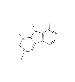 Cc1nccc2c3cc(Cl)cc(I)c3n(C)c12